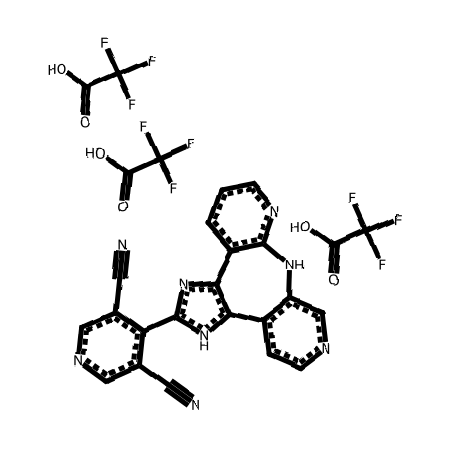 N#Cc1cncc(C#N)c1-c1nc2c([nH]1)-c1ccncc1Nc1ncccc1-2.O=C(O)C(F)(F)F.O=C(O)C(F)(F)F.O=C(O)C(F)(F)F